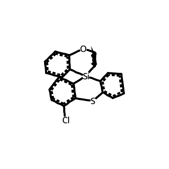 Clc1cccc2c1Sc1ccccc1[Si]21c2ccccc2Oc2ccccc21